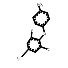 O=[N+]([O-])c1[c]cc(Oc2c(F)cc(C(F)(F)F)cc2Cl)cc1